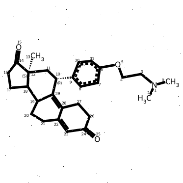 CN(C)CCOc1ccc([C@H]2C[C@]3(C)C(=O)CCC3C3CCC4=CC(=O)CCC4=C32)cc1